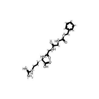 N=C(N)NCCC[C@H](NC(=O)CNC(=O)CNC(=O)OCc1ccccc1)C(=O)O